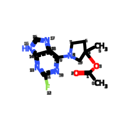 CC(=O)OC1(C)CCN(c2nc(F)nc3[nH]cnc23)C1